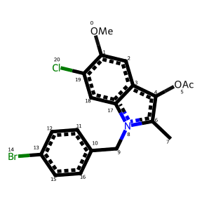 COc1cc2c(OC(C)=O)c(C)n(Cc3ccc(Br)cc3)c2cc1Cl